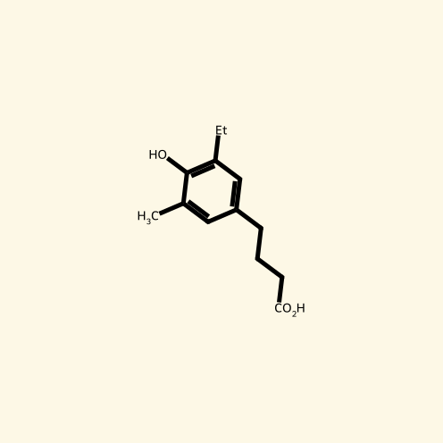 CCc1cc(CCCC(=O)O)cc(C)c1O